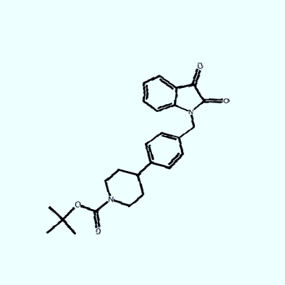 CC(C)(C)OC(=O)N1CCC(c2ccc(CN3C(=O)C(=O)c4ccccc43)cc2)CC1